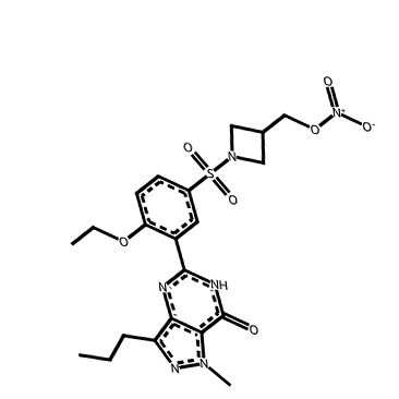 CCCc1nn(C)c2c(=O)[nH]c(-c3cc(S(=O)(=O)N4CC(CO[N+](=O)[O-])C4)ccc3OCC)nc12